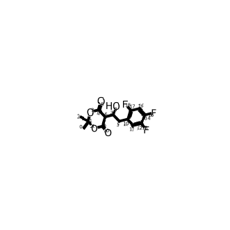 CC1(C)OC(=O)C(C(O)Cc2cc(F)c(F)cc2F)C(=O)O1